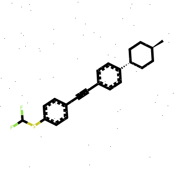 C[C@H]1CC[C@H](c2ccc(C#Cc3ccc(SC(F)F)cc3)cc2)CC1